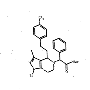 CCn1nc(C)c2c1CCN(C(C(=O)NC)c1ccccc1)C2CCc1ccc(C(F)(F)F)cc1